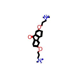 C[N+](C)(C)CCCOc1ccc2c(c1)C(=O)c1ccc(OCCC[N+](C)(C)C)cc1-2